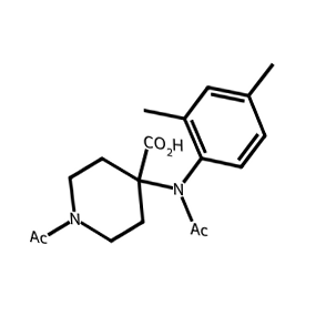 CC(=O)N1CCC(C(=O)O)(N(C(C)=O)c2ccc(C)cc2C)CC1